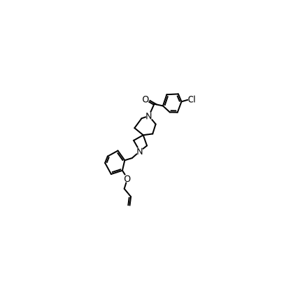 C=CCOc1ccccc1CN1CC2(CCN(C(=O)c3ccc(Cl)cc3)CC2)C1